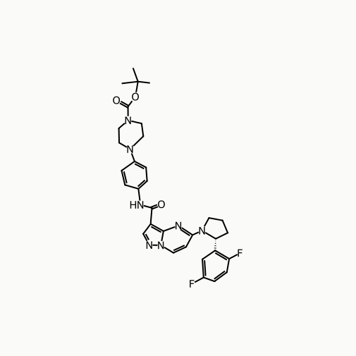 CC(C)(C)OC(=O)N1CCN(c2ccc(NC(=O)c3cnn4ccc(N5CCC[C@@H]5c5cc(F)ccc5F)nc34)cc2)CC1